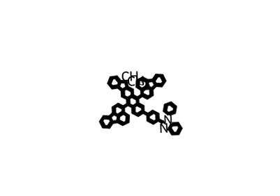 CC1(C)c2ccccc2-c2cc3c(-c4ccc5c6c(cccc46)-c4ccccc4-5)c4ccc(-c5ccc(-c6nc7ccccc7n6-c6ccccc6)cc5)cc4c(-c4ccc5c6c(cccc46)-c4ccccc4-5)c3cc21